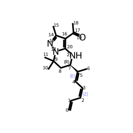 C=C/C=C\C=C(/C)[C@H]1CC(C)(C)n2nc(C)c(C(C)=O)c2N1